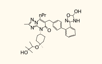 CCCc1c(Cc2ccc(-c3ccccc3C3=NOC(O)N3)cc2)c(=O)n([C@H]2CC[C@](C)(OC(C)C(C)(C)O)CC2)c2nc(C)nn12